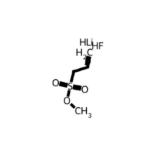 C=CCS(=O)(=O)OC.F.[LiH]